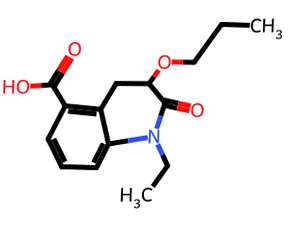 CCCOC1Cc2c(C(=O)O)cccc2N(CC)C1=O